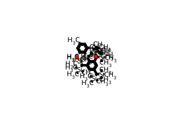 Cc1cc(C)c([Si@@](C)(B2OC(C)(C)C(C)(C)O2)c2c(C([Si](C)(C)C)[Si](C)(C)C)cc(C([Si](C)(C)C)[Si](C)(C)C)cc2C([Si](C)(C)C)[Si](C)(C)C)c(C)c1